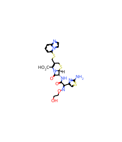 Nc1nc(/C(=N/OCCO)C(=O)N[C@@H]2C(=O)N3C(C(=O)O)=C(CSc4cccc5nccn45)CS[C@H]23)cs1